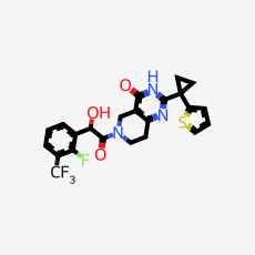 O=C(C(O)c1cccc(C(F)(F)F)c1F)N1CCc2nc(C3(c4cccs4)CC3)[nH]c(=O)c2C1